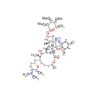 CC[C@H]1CCC[C@H](O[C@H]2CC[C@H](N(C)C)C(C)O2)[C@@H](C)C(=O)C2=C[C@H]3[C@@H]4C[C@H](O[C@@H]5OC(C)[C@H](OC)C(OC)C5OC)C[C@H]4[C@H](Nc4cc(Cl)cc(Cl)c4)[C@@H](O)[C@H]3[C@@H]2CC(=O)O1